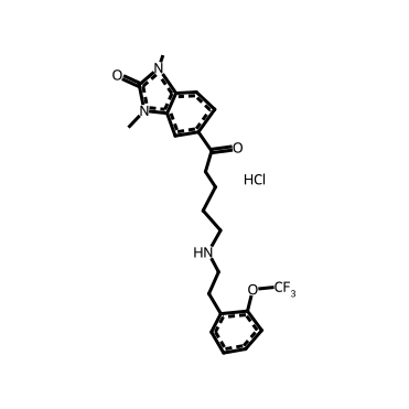 Cl.Cn1c(=O)n(C)c2cc(C(=O)CCCCNCCc3ccccc3OC(F)(F)F)ccc21